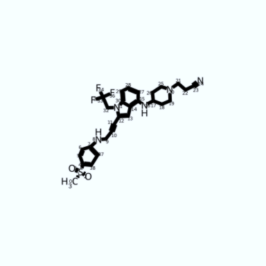 CS(=O)(=O)c1ccc(NCC#Cc2cc3c(NC4CCN(CCC#N)CC4)cccc3n2CC(F)(F)F)cc1